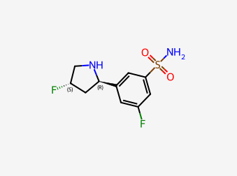 NS(=O)(=O)c1cc(F)cc([C@H]2C[C@H](F)CN2)c1